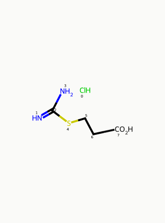 Cl.N=C(N)SCCC(=O)O